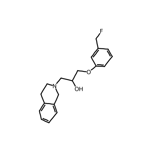 OC(COc1cccc(CF)c1)CN1CCc2ccccc2C1